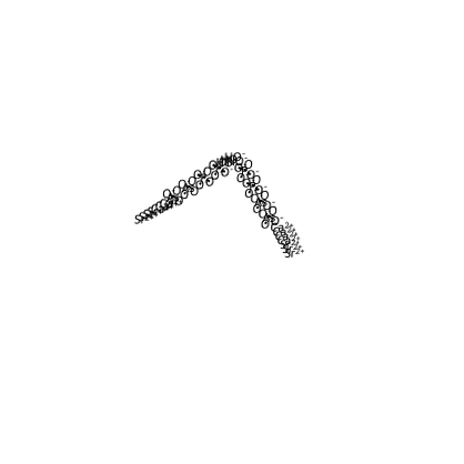 O=P([O-])([O-])[O-].O=P([O-])([O-])[O-].O=P([O-])([O-])[O-].O=P([O-])([O-])[O-].O=[As]([O-])([O-])[O-].O=[As]([O-])([O-])[O-].O=[As]([O-])([O-])[O-].O=[As]([O-])([O-])[O-].[Ca+2].[Ca+2].[Ca+2].[Ca+2].[Ca+2].[Ca+2].[Ca+2].[OH-].[OH-].[OH-].[OH-].[Sr+2].[Sr+2].[Sr+2].[Sr+2].[Sr+2].[Sr+2].[Sr+2]